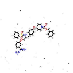 N=C(N)c1cccc(OC[C@H](Cc2ccc(OC3CCN(C(=O)OCc4ccccc4)CC3)cc2)NS(=O)(=O)c2ccccc2)c1